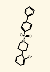 O=S(=O)(c1ccc(-c2ccccc2)cc1)N1CCC(C2C=CCC=C2Br)CC1